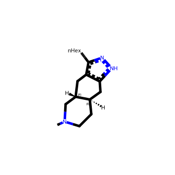 CCCCCCc1n[nH]c2c1C[C@H]1CN(C)CC[C@@H]1C2